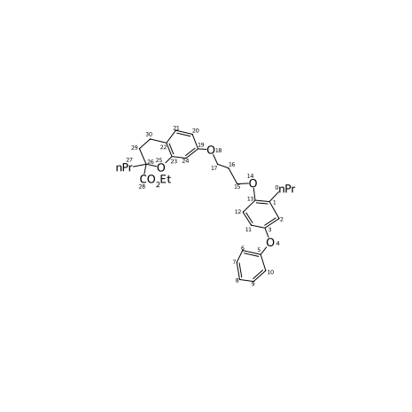 CCCc1cc(Oc2ccccc2)ccc1OCCCOc1ccc2c(c1)OC(CCC)(C(=O)OCC)CC2